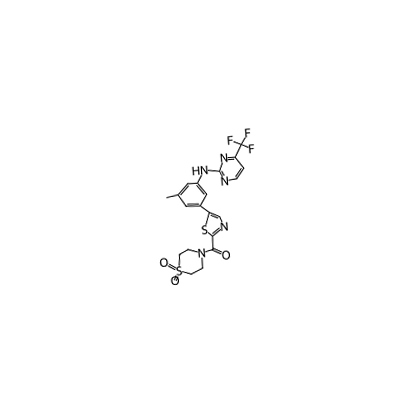 Cc1cc(Nc2nccc(C(F)(F)F)n2)cc(-c2cnc(C(=O)N3CCS(=O)(=O)CC3)s2)c1